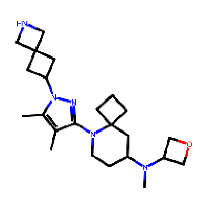 Cc1c(N2CCC(N(C)C3COC3)CC23CCC3)nn(C2CC3(CNC3)C2)c1C